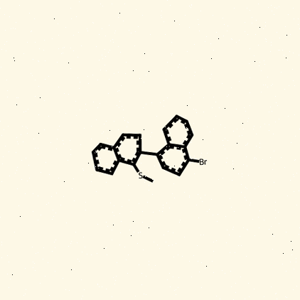 CSc1c(-c2ccc(Br)c3ccccc23)ccc2ccccc12